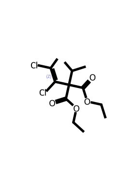 CCOC(=O)C(C(=O)OCC)(/C(Cl)=C(\C)Cl)C(C)C